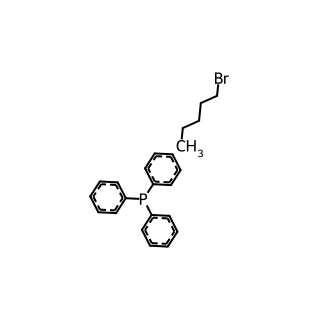 CCCCCBr.c1ccc(P(c2ccccc2)c2ccccc2)cc1